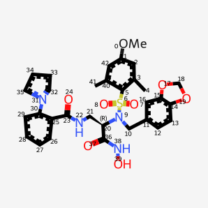 COc1cc(C)c(S(=O)(=O)N(Cc2ccc3c(c2)OCO3)[C@H](CNC(=O)c2ccccc2-n2cccc2)C(=O)NO)c(C)c1